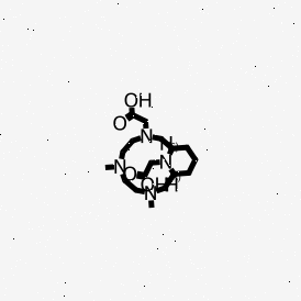 CN1CCN(C)C[C@H]2CCC[C@@H](CN(CC(=O)O)CC1)N2CC(=O)O